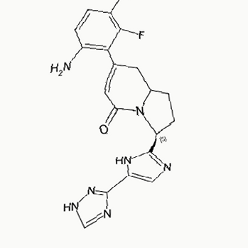 Nc1ccc(Cl)c(F)c1C1=CC(=O)N2C(CC[C@H]2c2ncc(-c3nc[nH]n3)[nH]2)C1